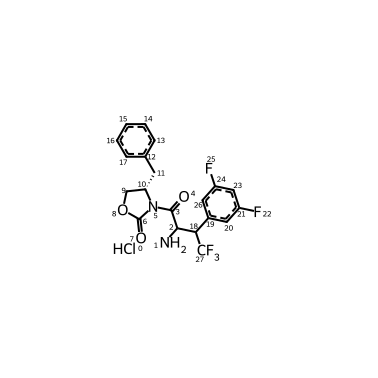 Cl.NC(C(=O)N1C(=O)OC[C@@H]1Cc1ccccc1)C(c1cc(F)cc(F)c1)C(F)(F)F